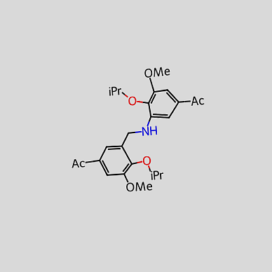 COc1cc(C(C)=O)cc(CNc2cc(C(C)=O)cc(OC)c2OC(C)C)c1OC(C)C